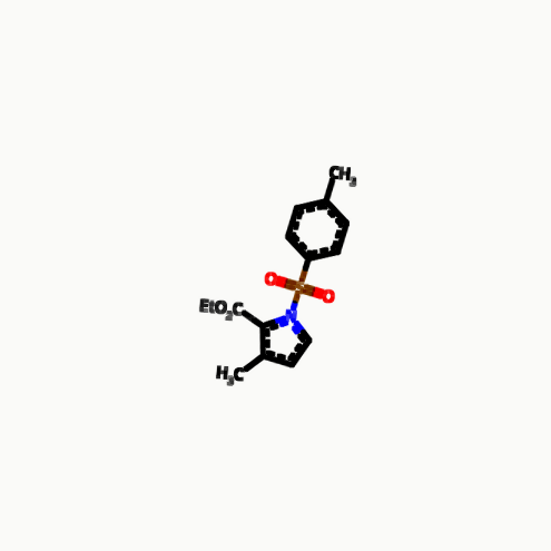 CCOC(=O)c1c(C)ccn1S(=O)(=O)c1ccc(C)cc1